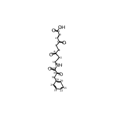 O=C(O)CCC(=O)CCC(=O)CCNC(=O)C(=O)Cc1ccccc1